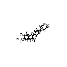 Cc1nc2cc(F)c(-c3ccc(P4CCOCC4)nc3)cc2c(Cl)c1Cl